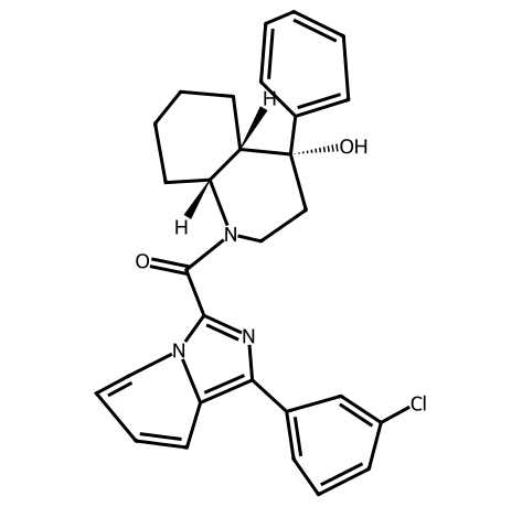 O=C(c1nc(-c2cccc(Cl)c2)c2ccccn12)N1CC[C@](O)(c2ccccc2)[C@H]2CCCC[C@H]21